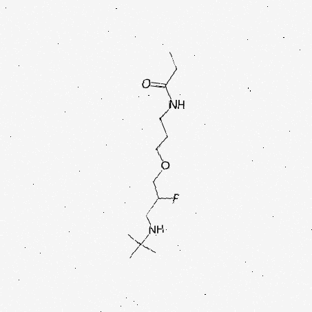 CCC(=O)NCCCOCC(F)CNC(C)(C)C